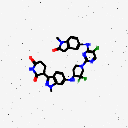 CN1C(=O)Cc2cc(Nc3nc(N4CC[C@H](Nc5ccc6c(C7CCC(=O)NC7=O)nn(C)c6c5)C(F)(F)C4)ncc3Cl)ccc21